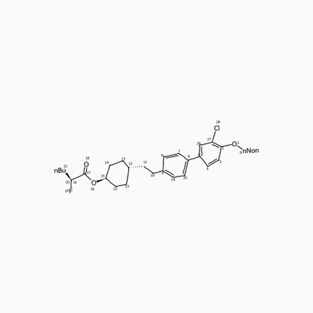 CCCCCCCCCOc1ccc(-c2ccc(CC[C@H]3CC[C@H](OC(=O)[C@@H](F)CCCC)CC3)cc2)cc1Cl